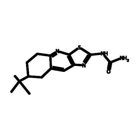 CC(C)(C)C1CCc2nc3sc(NC(N)=O)nc3cc2C1